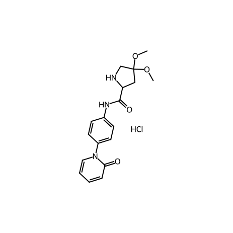 COC1(OC)CNC(C(=O)Nc2ccc(-n3ccccc3=O)cc2)C1.Cl